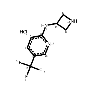 Cl.FC(F)(F)c1ccc(NC2CNC2)nc1